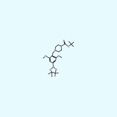 COc1cc(B2OC(C)(C)C(C)(C)O2)cc(OC)c1CN1CCN(C(=O)OC(C)(C)C)CC1